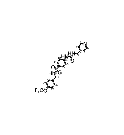 O=C(NCc1ccncc1)Nc1ccc(S(=O)(=O)NCc2ccc(OC(F)(F)F)cc2)cc1